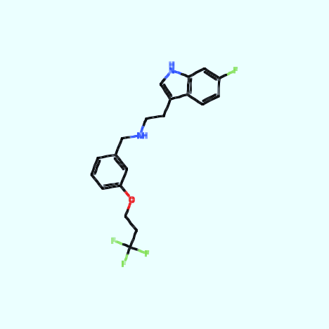 Fc1ccc2c(CCNCc3cccc(OCCC(F)(F)F)c3)c[nH]c2c1